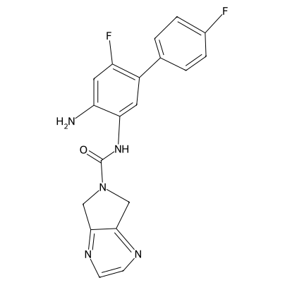 Nc1cc(F)c(-c2ccc(F)cc2)cc1NC(=O)N1Cc2nccnc2C1